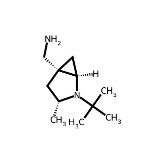 C[C@@H]1C[C@@]2(CN)C[C@H]2N1C(C)(C)C